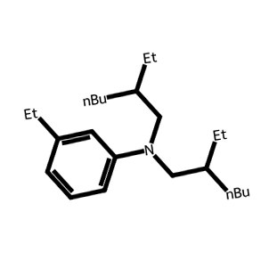 CCCCC(CC)CN(CC(CC)CCCC)c1cccc(CC)c1